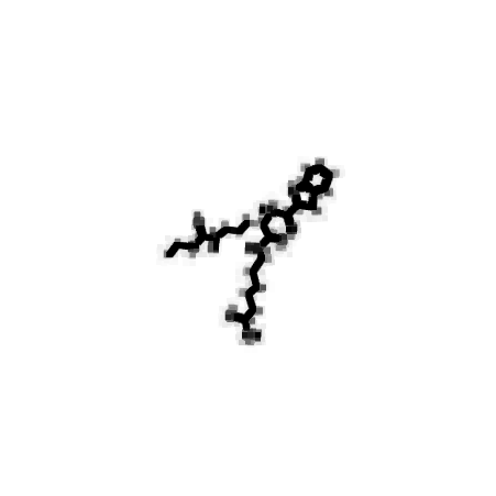 CCOC(=O)NCCC[C@H](NC(=O)c1cc2ccccc2o1)C(=O)NCCCCCC(=O)O